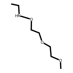 CCNOCCOCCOC